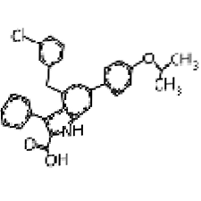 CC(C)Oc1ccc(-c2cc(Cc3cccc(Cl)c3)c3c(-c4ccccc4)c(C(=O)O)[nH]c3c2)cc1